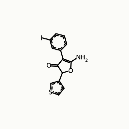 NC1=C(c2cccc(I)c2)C(=O)C(c2ccsc2)O1